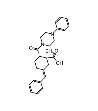 C[C@]1(C(=O)O)CC(=Cc2ccccc2)CC[C@@H]1C(=O)N1CCN(c2ccccc2)CC1